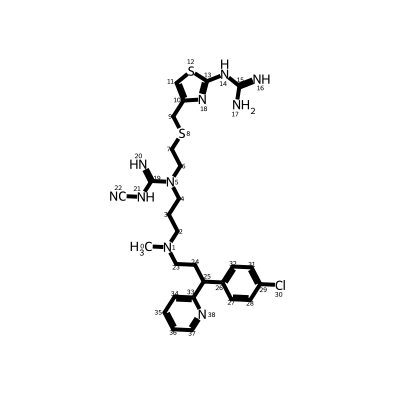 CN(CCCN(CCSCc1csc(NC(=N)N)n1)C(=N)NC#N)CCC(c1ccc(Cl)cc1)c1ccccn1